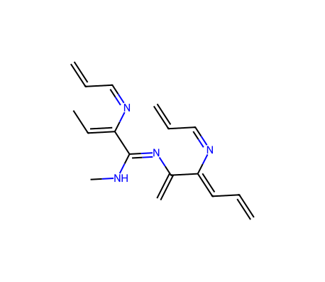 C=C/C=N\C(=C/C=C)C(=C)/N=C(NC)/C(=C/C)/N=C\C=C